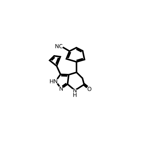 N#Cc1cccc(C2CC(=O)Nc3n[nH]c(C4=CC=C4)c32)c1